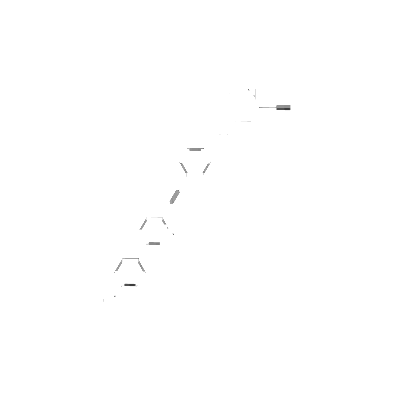 C#CC(N)CCCOc1ccc(C#Cc2ccc(-c3ccc(Cl)cc3)cn2)cc1C